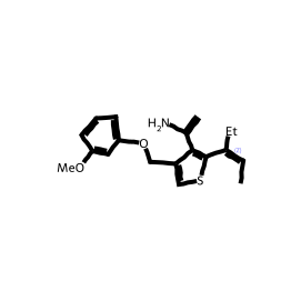 C=C(N)c1c(COc2cccc(OC)c2)csc1/C(=C\C)CC